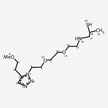 COCCc1cnnn1CCOCCOCCNCC(C)S